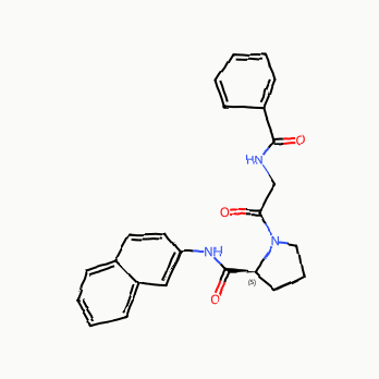 O=C(NCC(=O)N1CCC[C@H]1C(=O)Nc1ccc2ccccc2c1)c1ccccc1